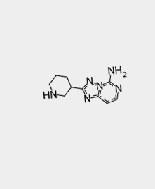 Nc1nccc2nc(C3CCCNC3)nn12